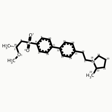 CO[C@H](C)CS(=O)(=O)c1ccc(-c2ccc(CCN3CCCC3C)cc2)cc1